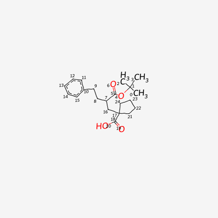 CC(C)(C)OC(=O)C(CCc1ccccc1)CC1(C(=O)O)CCCC1